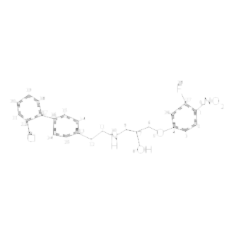 O=[N+]([O-])c1ccc(OCC(O)CNCCc2ccc(-c3ccccc3Cl)cc2)cc1F